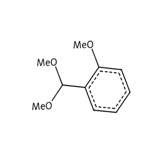 COc1ccccc1C(OC)OC